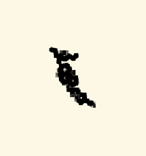 CCCCC(O)(CCC)C[C@H]1CC[C@@H]2[C@H](CC[C@]3(C)[C@@H](C(C)(O)Cn4cc(C#N)cn4)CC[C@@H]23)C1